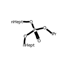 CCCCCCCOP(=O)(OCCCCCCC)OC(C)C